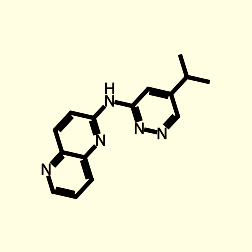 CC(C)c1cnnc(Nc2ccc3ncccc3n2)c1